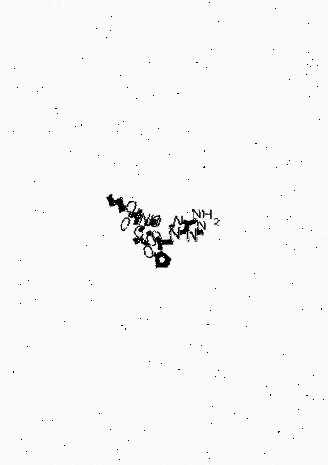 CCCCOC(=O)C(C)(C)NP(=O)(COC(C)Cn1cnc2c(N)ncnc21)OC(C)C(=O)OC1CCCC1